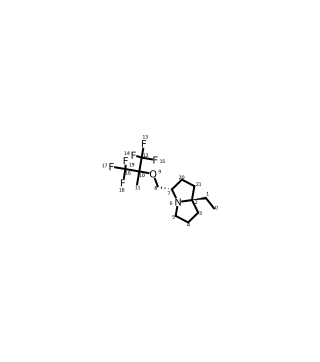 CC[C@@]12CCCN1[C@H](COC(C)(C(F)(F)F)C(F)(F)F)CC2